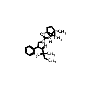 CCC(C)(C)C1=NN(C(=O)NC2(C)[C@H]3CC[C@]2(C)CC3)CC1c1ccccc1